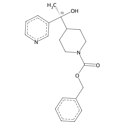 C[C@@](O)(c1cccnc1)C1CCN(C(=O)OCc2ccccc2)CC1